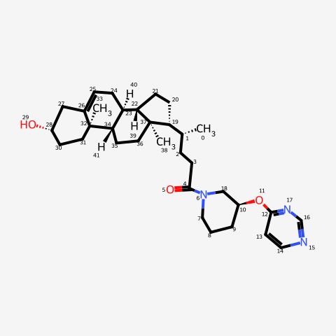 C[C@H](CCC(=O)N1CCC[C@H](Oc2ccncn2)C1)[C@H]1CC[C@H]2[C@@H]3CC=C4C[C@@H](O)CC[C@]4(C)[C@H]3CC[C@]12C